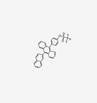 O=S(=O)(Oc1ccc(-c2c3ccccc3c(-c3ccc4ccccc4c3)c3ccccc23)cc1)C(F)(F)F